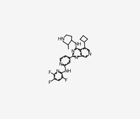 CC1CNCCC1Nc1nc(-c2ccnc(Nc3nc(F)c(F)cc3F)c2)nc2cncc(C3CCC3)c12